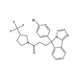 O=C(CCC1(c2ccc(Br)cc2)c2ccccc2-c2nccn21)N1CCC(C(F)(F)F)C1